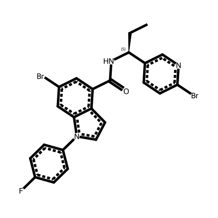 CC[C@H](NC(=O)c1cc(Br)cc2c1ccn2-c1ccc(F)cc1)c1ccc(Br)nc1